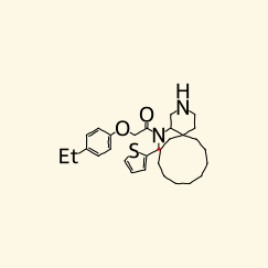 CCc1ccc(OCC(=O)N(Cc2cccs2)C2CNCCC23CCCCCCCCCC3)cc1